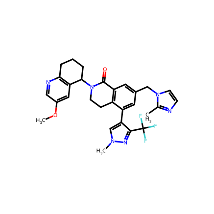 COc1cnc2c(c1)C(N1CCc3c(cc(Cn4ccnc4C)cc3-c3cn(C)nc3C(F)(F)F)C1=O)CCC2